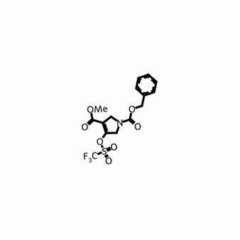 COC(=O)C1=C(OS(=O)(=O)C(F)(F)F)CN(C(=O)OCc2ccccc2)C1